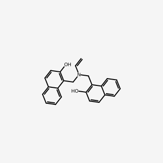 C=CN(Cc1c(O)ccc2ccccc12)Cc1c(O)ccc2ccccc12